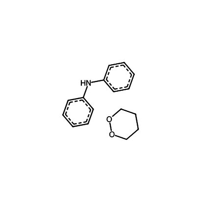 C1CCOOC1.c1ccc(Nc2ccccc2)cc1